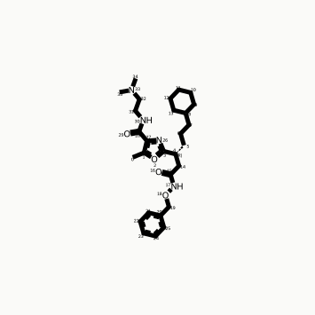 Cc1oc([C@H](CCCC2CCCCC2)CC(=O)NOCc2ccccc2)nc1C(=O)NCCN(C)C